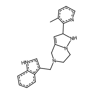 Cc1cccnc1C1C=C2CN(Cc3c[nH]c4ccccc34)CCN2N1